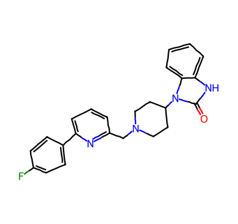 O=c1[nH]c2ccccc2n1C1CCN(Cc2cccc(-c3ccc(F)cc3)n2)CC1